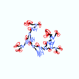 COC(=O)CCN(CCNC(=O)CCN(CCNC(=O)CCN(CCCN=[N+]=[N-])CCC(=O)NCCN(CCC(=O)NCCN(CCC(=O)OC)CCC(=O)OC)CCC(=O)NCCN(CCC(=O)OC)CCC(=O)OC)CCC(=O)NCCN(CCC(=O)OC)CCC(=O)OC)CCC(=O)OC